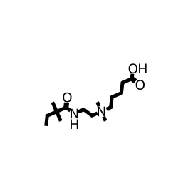 CCC(C)(C)C(=O)NCC[N+](C)(C)CCCCC(=O)O